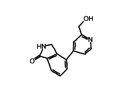 O=C1NCc2c1cccc2-c1ccnc(CO)c1